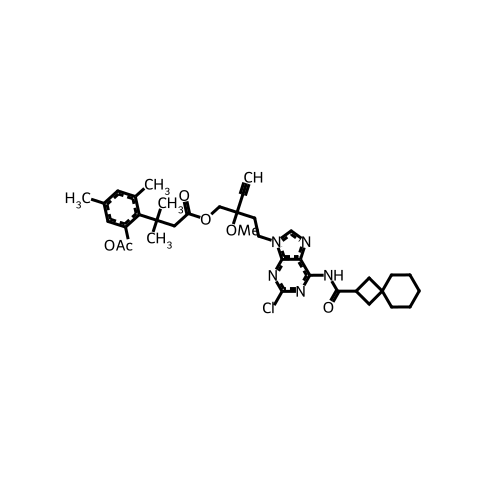 C#CC(CCn1cnc2c(NC(=O)C3CC4(CCCCC4)C3)nc(Cl)nc21)(COC(=O)CC(C)(C)c1c(C)cc(C)cc1OC(C)=O)OC